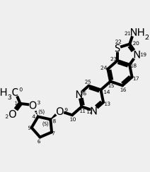 CC(=O)O[C@H]1CCC[C@@H]1OCc1ncc(-c2ccc3nc(N)sc3c2)cn1